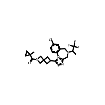 CC(N1Cc2cc(Cl)ccc2-n2c(nnc2C2CC3(C2)CN(C(=O)C2(C)CC2)C3)C1)C(F)(F)F